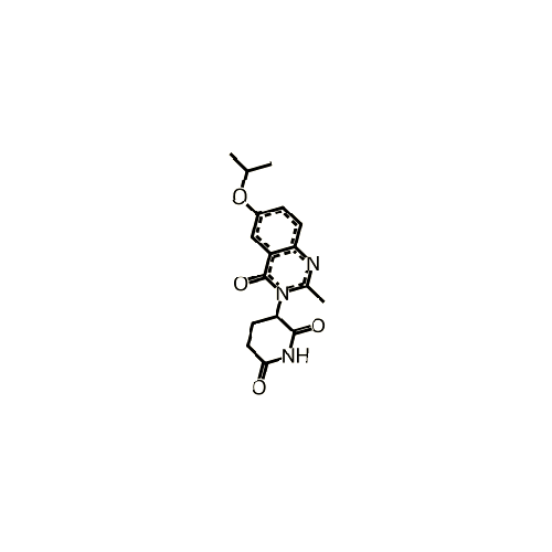 Cc1nc2ccc(OC(C)C)cc2c(=O)n1C1CCC(=O)NC1=O